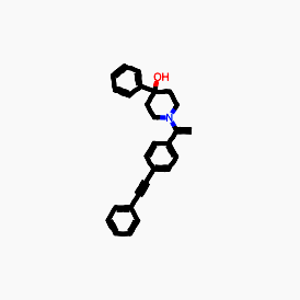 C=C(c1ccc(C#Cc2ccccc2)cc1)N1CCC(O)(c2ccccc2)CC1